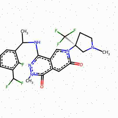 CC(Nc1nn(C)c(=O)c2cc(=O)n([C@@]3(C(F)(F)F)CCN(C)C3)cc12)c1cccc(C(F)F)c1F